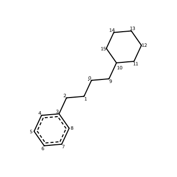 [CH](CCc1ccccc1)CC1CCCCC1